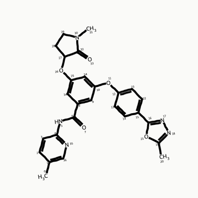 Cc1ccc(NC(=O)c2cc(Oc3ccc(-c4nnc(C)o4)cc3)cc(OC3CCN(C)C3=O)c2)nc1